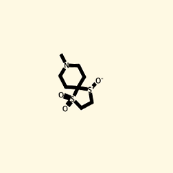 CN1CCC2(CC1)[S+]([O-])CCS2(=O)=O